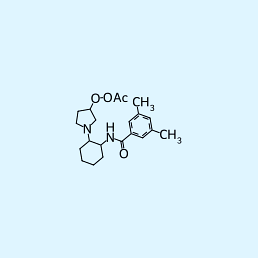 CC(=O)OOC1CCN(C2CCCCC2NC(=O)c2cc(C)cc(C)c2)C1